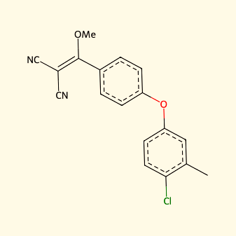 COC(=C(C#N)C#N)c1ccc(Oc2ccc(Cl)c(C)c2)cc1